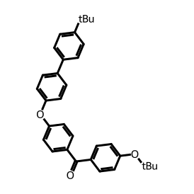 CC(C)(C)Oc1ccc(C(=O)c2ccc(Oc3ccc(-c4ccc(C(C)(C)C)cc4)cc3)cc2)cc1